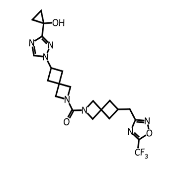 O=C(N1CC2(CC(Cc3noc(C(F)(F)F)n3)C2)C1)N1CC2(CC(n3cnc(C4(O)CC4)n3)C2)C1